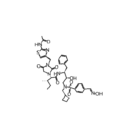 CC[C@H](C)[C@@H](C(=O)N[C@@H](Cc1ccccc1)[C@@H](O)CN(CC1CCC1)S(=O)(=O)c1ccc(C=NO)cc1)N1CC(=O)N(Cc2csc(NC(C)=O)n2)C1=O